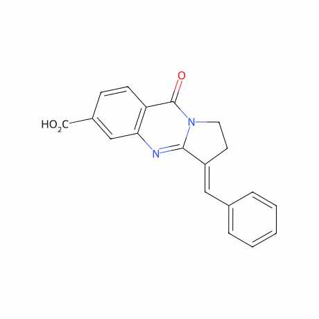 O=C(O)c1ccc2c(=O)n3c(nc2c1)/C(=C/c1ccccc1)CC3